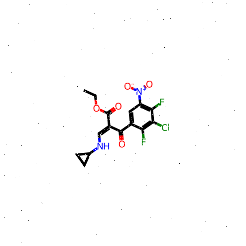 CCOC(=O)/C(=C/NC1CC1)C(=O)c1cc([N+](=O)[O-])c(F)c(Cl)c1F